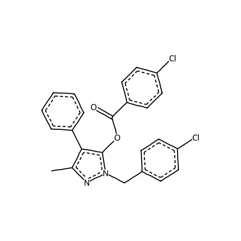 Cc1nn(Cc2ccc(Cl)cc2)c(OC(=O)c2ccc(Cl)cc2)c1-c1ccccc1